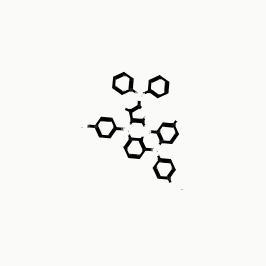 Cc1c(N(c2ccccc2)c2ccccc2)oc2c1N(c1ccc(C(C)(C)C)cc1)c1cccc3c1B2c1cc(C(C)(C)C)ccc1N3c1ccc(C(C)(C)C)cc1